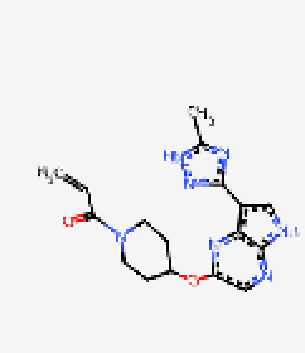 C=CC(=O)N1CCC(Oc2cnc3[nH]cc(-c4n[nH]c(C)n4)c3n2)CC1